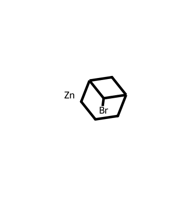 BrC1C2CCCC1C2.[Zn]